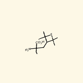 CC(N)(CC1C(C)(C)SC1(C)C)C(=O)O